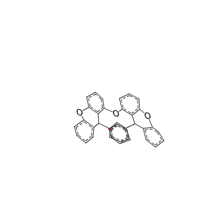 c1ccc(C2c3ccccc3Oc3cccc(Oc4cccc5c4C(c4ccccc4)c4ccccc4O5)c32)cc1